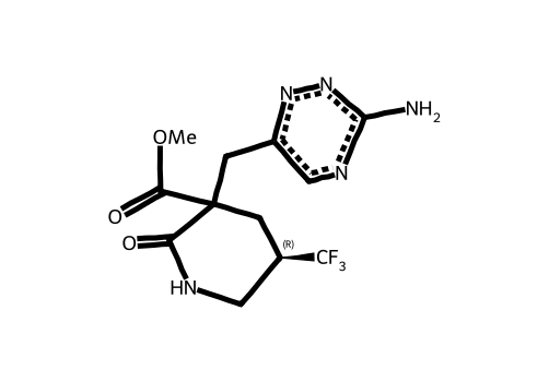 COC(=O)C1(Cc2cnc(N)nn2)C[C@@H](C(F)(F)F)CNC1=O